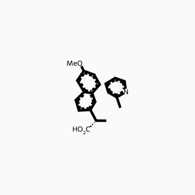 COc1ccc2cc([C@H](C)C(=O)O)ccc2c1.Cc1ccccn1